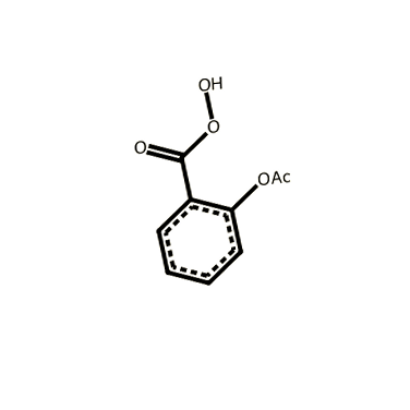 CC(=O)Oc1ccccc1C(=O)OO